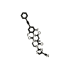 CC12CC(=O)N(c3c(F)cc(C#Cc4ccccc4)cc3F)C(=O)N1CCN(c1nc(C#N)cs1)C2=O